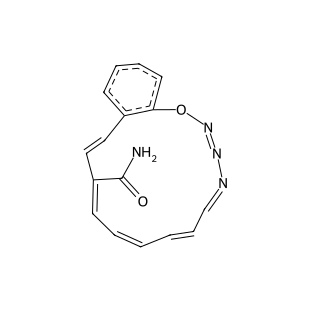 NC(=O)C1=C\C=C/C=C/C=N/N=N\Oc2ccccc2\C=C\1